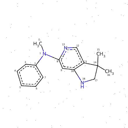 CN(c1ccccc1)c1cc2c(cn1)C(C)(C)CN2